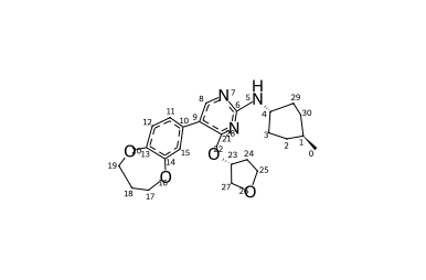 C[C@H]1CC[C@H](Nc2ncc(-c3ccc4c(c3)OCCCO4)c(O[C@@H]3CCOC3)n2)CC1